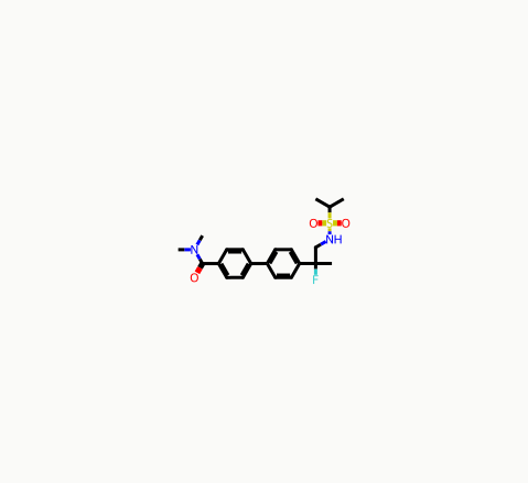 CC(C)S(=O)(=O)NCC(C)(F)c1ccc(-c2ccc(C(=O)N(C)C)cc2)cc1